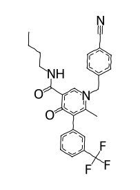 CCCCNC(=O)c1cn(Cc2ccc(C#N)cc2)c(C)c(-c2cccc(C(F)(F)F)c2)c1=O